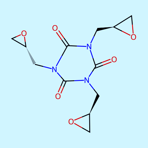 O=c1n(C[C@H]2CO2)c(=O)n(C[C@@H]2CO2)c(=O)n1C[C@H]1CO1